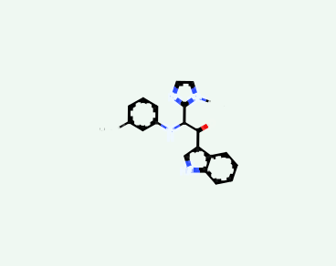 COc1cccc(NC(C(=O)c2c[nH]c3ccccc23)c2nccn2C)c1